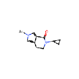 CC(=O)n1cc2c(c1)C(=O)N(C1CC1)CC2